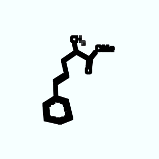 COC(=O)C(C)CC=Cc1ccccc1